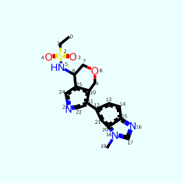 CCS(=O)(=O)NC1COCc2c(-c3ccc4ncn(C)c4c3)cncc21